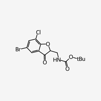 CC(C)(C)OC(=O)NCC1Oc2c(Cl)cc(Br)cc2C1=O